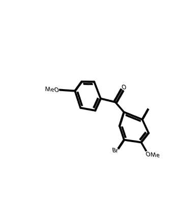 COc1ccc(C(=O)c2cc(Br)c(OC)cc2C)cc1